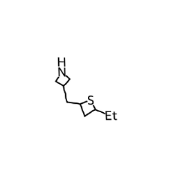 CCC1CC(CC2CNC2)S1